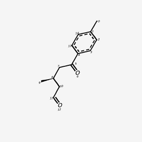 Cc1ccc(C(=O)C[C@H](C)CC=O)cc1